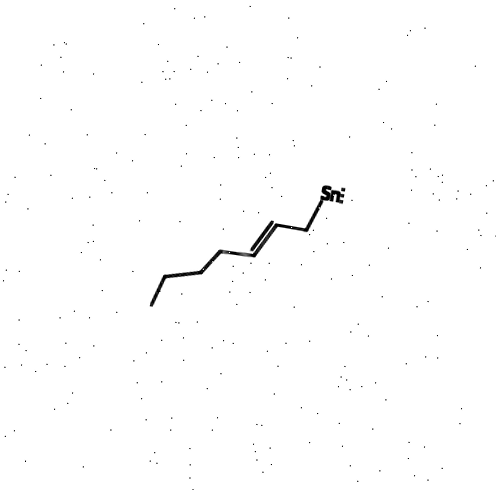 CCCCC=C[CH2][Sn]